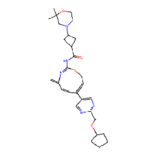 C=C1/C=C\C(c2cnc(COC3CCCC3)nc2)=C/CS/C(NC(=O)C2CC(N3CCOC(C)(C)C3)C2)=N\1